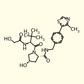 Cc1ncsc1-c1ccc(CNC(=O)[C@@H]2C[C@@H](O)CN2C(=O)[C@@H](NC(=O)CO)C(C)(C)C)cc1